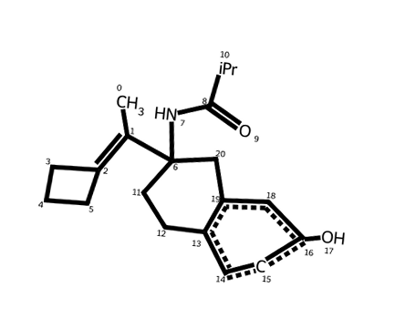 CC(=C1CCC1)C1(NC(=O)C(C)C)CCc2ccc(O)cc2C1